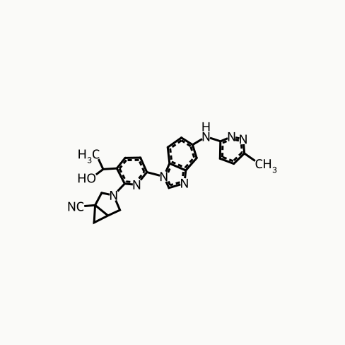 Cc1ccc(Nc2ccc3c(c2)ncn3-c2ccc(C(C)O)c(N3CC4CC4(C#N)C3)n2)nn1